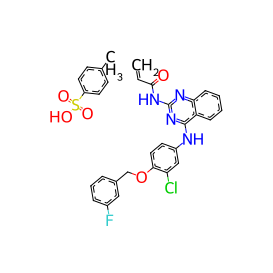 C=CC(=O)Nc1nc(Nc2ccc(OCc3cccc(F)c3)c(Cl)c2)c2ccccc2n1.Cc1ccc(S(=O)(=O)O)cc1